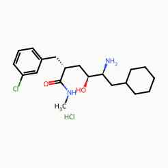 CNC(=O)[C@H](Cc1cccc(Cl)c1)C[C@H](O)[C@@H](N)CC1CCCCC1.Cl